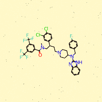 CN(CC(CCN1CCC(N(Cc2ccc(F)cc2)c2nc3ccccc3[nH]2)CC1)c1ccc(Cl)c(Cl)c1)C(=O)c1cc(C(F)(F)F)cc(C(F)(F)F)c1